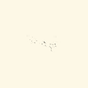 COCC(SC[C@@H]1C[C@H](SC2=C(C(=O)O)N3C(=O)[C@@H](C(C)O)[C@H]3[C@H]2C)CN1)C(=O)N(C)OC